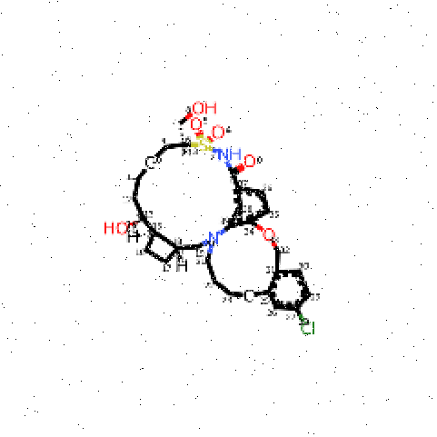 O=C1NS(=O)(=O)[C@@H](CO)CCCC[C@H](O)[C@@H]2CC[C@H]2CN2CCCCc3cc(Cl)ccc3COc3ccc1cc32